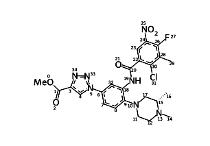 COC(=O)c1cn(-c2ccc(N3CCN(C)[C@@H](C)C3)c(NC(=O)c3cc([N+](=O)[O-])c(F)c(C)c3Cl)c2)nn1